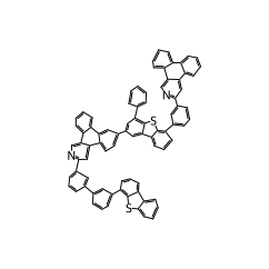 c1ccc(-c2cc(-c3ccc4c(c3)c3ccccc3c3cnc(-c5cccc(-c6cccc(-c7cccc8c7sc7ccccc78)c6)c5)cc43)cc3c2sc2c(-c4cccc(-c5cc6c7ccccc7c7ccccc7c6cn5)c4)cccc23)cc1